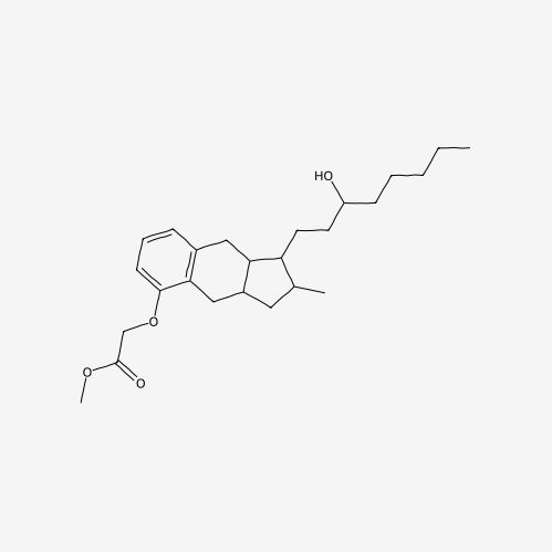 CCCCCC(O)CCC1C(C)CC2Cc3c(cccc3OCC(=O)OC)CC21